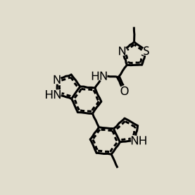 Cc1nc(C(=O)Nc2cc(-c3ccc(C)c4[nH]ccc34)cc3[nH]ncc23)cs1